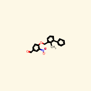 Cc1c(COc2ccc(C=O)cc2[N+](=O)[O-])cccc1-c1ccccc1